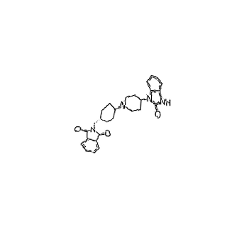 O=C1c2ccccc2C(=O)N1C[C@H]1CC[C@H](N2CCC(n3c(=O)[nH]c4ccccc43)CC2)CC1